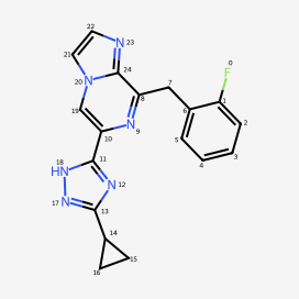 Fc1ccccc1Cc1nc(-c2nc(C3CC3)n[nH]2)cn2ccnc12